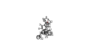 Cc1c(C)c(C23CC4CC(CC(C4)C2)C3)c(C)c(C23CC4CC(CC(C4)C2)C3)c1OCC1CO1